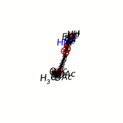 CC[C@H]1C[C@H]2C[C@H]3c4[nH]c5ccc(OC(=O)OCCCCCCCCCO[C@H]6O[C@H](COC(C)=O)[C@@H](C)[C@H](OC(C)=O)[C@@H]6OC(C)=O)cc5c4CCN(C2)C13